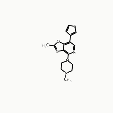 Cc1nc2c(N3CCN(C)CC3)ncc(-c3ccsc3)c2o1